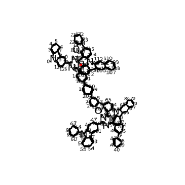 Cn1c2ccccc2c2cc(-c3nc(-c4ccc(-c5ccc(-c6ccc7oc8c(-c9nc(-c%10cccc(-c%11ccccc%11)c%10)nc(-c%10ccc%11c(c%10)c%10ccccc%10n%11-c%10ccccc%10)n9)c(-n9c%10ccccc%10c%10cc%11ccccc%11cc%109)ccc8c7c6)cc5)cc4)nc(-c4c(-n5c6ccccc6c6cc7ccccc7cc65)ccc5c4oc4ccccc45)n3)ccc21